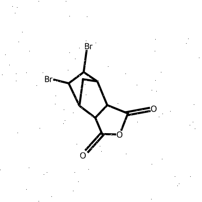 O=C1OC(=O)C2C3CC(C(Br)C3Br)C12